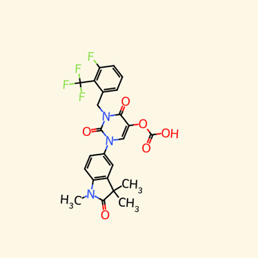 CN1C(=O)C(C)(C)c2cc(-n3cc(OC(=O)O)c(=O)n(Cc4cccc(F)c4C(F)(F)F)c3=O)ccc21